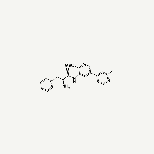 COc1ncc(-c2ccnc(C)c2)cc1NC(=O)[C@@H](N)Cc1ccccc1